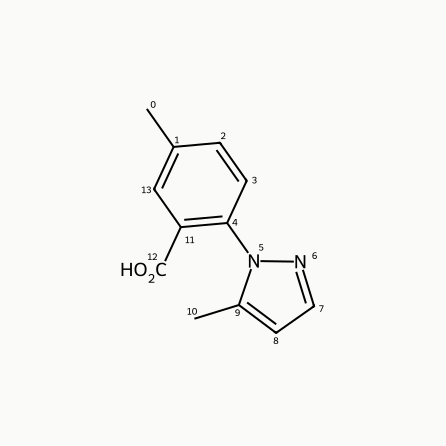 Cc1ccc(-n2nccc2C)c(C(=O)O)c1